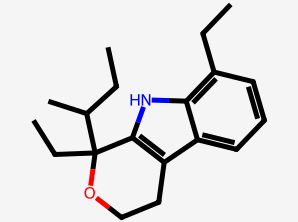 CCc1cccc2c3c([nH]c12)C(CC)(C(C)CC)OCC3